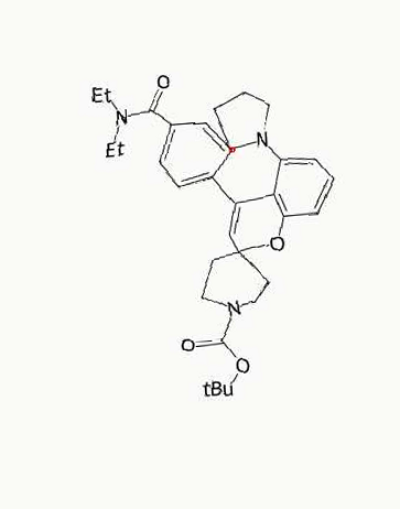 CCN(CC)C(=O)c1ccc(C2=CC3(CCN(C(=O)OC(C)(C)C)CC3)Oc3cccc(N4CCCC4)c32)cc1